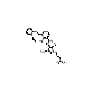 CC1=NN(CCCC(=O)O)C(=O)/C1=N\Nc1cccc(CCc2ccccc2C#N)c1O